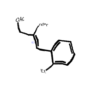 CCC/C(=C\c1ccccc1CC)COC(C)=O